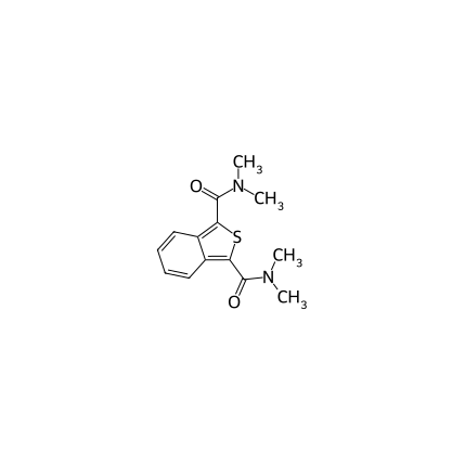 CN(C)C(=O)c1sc(C(=O)N(C)C)c2ccccc12